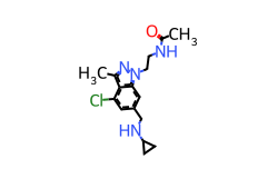 CC(=O)NCCn1nc(C)c2c(Cl)cc(CNC3CC3)cc21